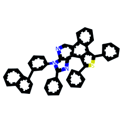 c1ccc(-c2sc(-c3ccccc3)c3c2c2ccccc2c2cnc4c(nc(-c5ccccc5)n4-c4cccc(-c5cccc6ccccc56)c4)c23)cc1